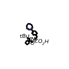 CC(C)(C)CCC1(C(=O)N[C@@H](Cc2ccc(C3=C/CCCC/C=C\3)cc2)C(=O)O)CCCC1